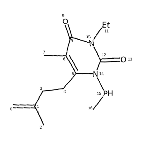 C=C(C)CCc1c(C)c(=O)n(CC)c(=O)n1PC